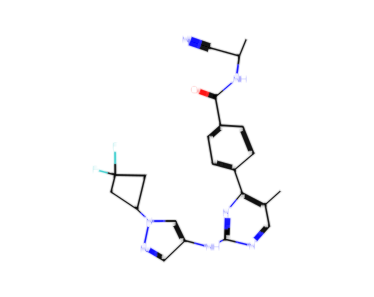 Cc1cnc(Nc2cnn(C3CC(F)(F)C3)c2)nc1-c1ccc(C(=O)NC(C)C#N)cc1